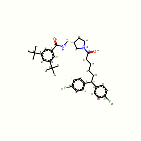 CC(C)(C)c1cc(C(=O)NC[C@@H]2CCN(C(=O)CCCCC(c3ccc(F)cc3)c3ccc(F)cc3)C2)cc(C(C)(C)C)c1